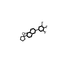 OC1(c2ccc3cc(-c4cc(F)c(F)c(F)c4)ccc3c2)CCCC1